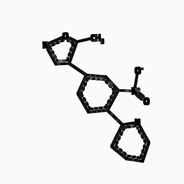 Cc1oncc1-c1ccc(-c2ccccn2)c([N+](=O)[O-])c1